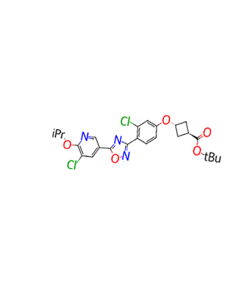 CC(C)Oc1ncc(-c2nc(-c3ccc(O[C@H]4C[C@H](C(=O)OC(C)(C)C)C4)cc3Cl)no2)cc1Cl